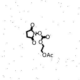 CC(=O)OCCOC(=O)ON1C(=O)CCC1=O